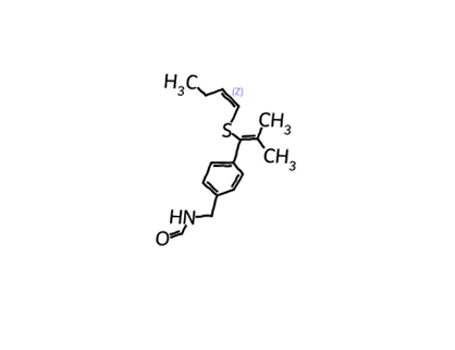 CC/C=C\SC(=C(C)C)c1ccc(CNC=O)cc1